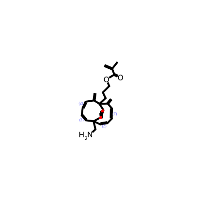 C=C(C)C(=O)OCCCC12C(=C)/C=C\C=C/C(CN)(/C=C\C=C/C1=C)c1ccccc12